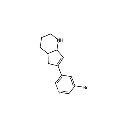 Brc1cncc(C2=CC3NCCCC3C2)c1